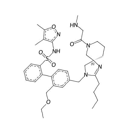 CCCCC1=N[C@@]2(CCCN(C(=O)CNC)C2)CN1Cc1ccc(-c2ccccc2S(=O)(=O)Nc2noc(C)c2C)c(COCC)c1